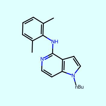 CCCCn1ccc2c(Nc3c(C)cccc3C)nccc21